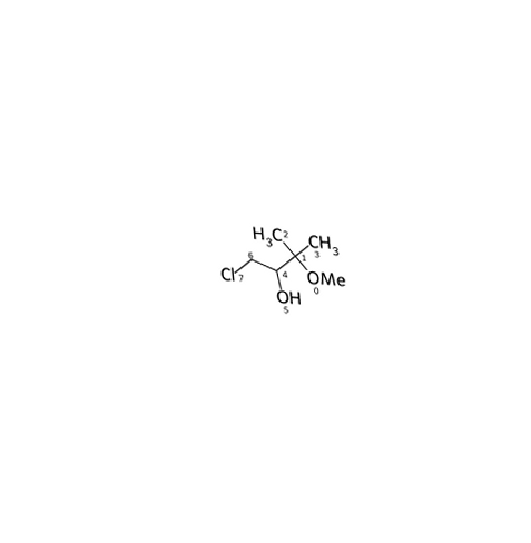 COC(C)(C)C(O)CCl